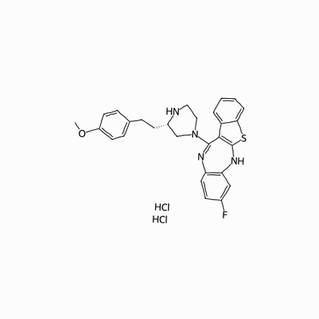 COc1ccc(CC[C@H]2CN(C3=Nc4ccc(F)cc4Nc4sc5ccccc5c43)CCN2)cc1.Cl.Cl